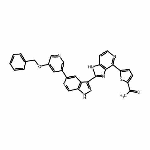 CC(=O)c1ccc(-c2nccc3[nH]c(-c4n[nH]c5cnc(-c6cncc(OCc7ccccc7)c6)cc45)nc23)s1